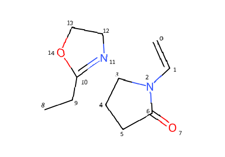 C=CN1CCCC1=O.CCC1=NCCO1